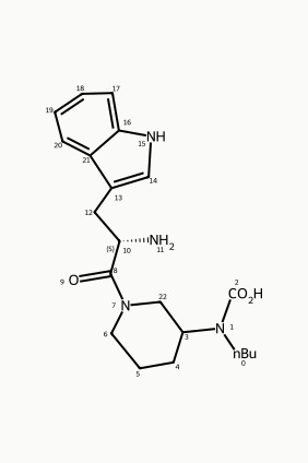 CCCCN(C(=O)O)C1CCCN(C(=O)[C@@H](N)Cc2c[nH]c3ccccc23)C1